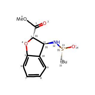 COC(=O)[C@H]1Oc2ccccc2[C@@H]1N[S@+]([O-])C(C)(C)C